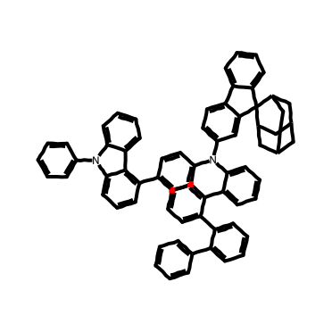 c1ccc(-c2ccccc2-c2ccccc2-c2ccccc2N(c2ccc(-c3cccc4c3c3ccccc3n4-c3ccccc3)cc2)c2ccc3c(c2)C2(c4ccccc4-3)C3CC4CC(C3)CC2C4)cc1